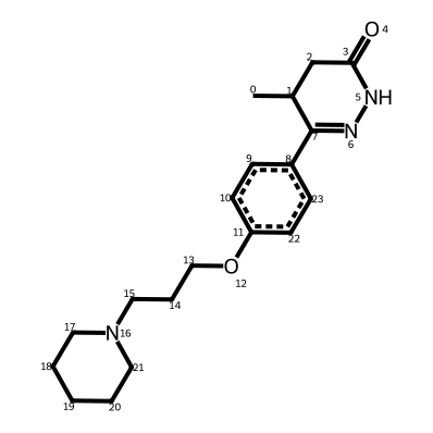 CC1CC(=O)NN=C1c1ccc(OCCCN2CCCCC2)cc1